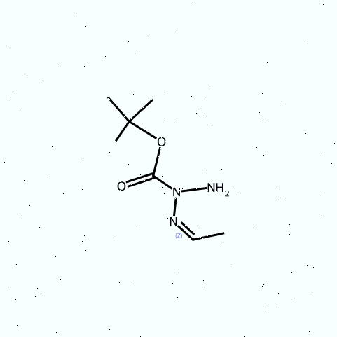 C/C=N\N(N)C(=O)OC(C)(C)C